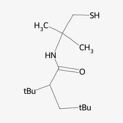 CC(C)(C)CC(C(=O)NC(C)(C)CS)C(C)(C)C